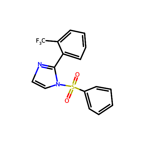 O=S(=O)(c1ccccc1)n1ccnc1-c1ccccc1C(F)(F)F